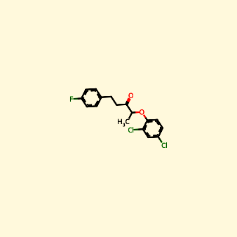 CC(Oc1ccc(Cl)cc1Cl)C(=O)CCc1ccc(F)cc1